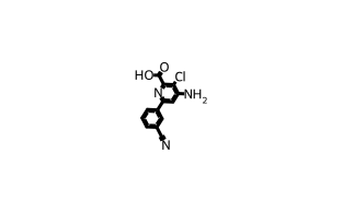 N#Cc1cccc(-c2cc(N)c(Cl)c(C(=O)O)n2)c1